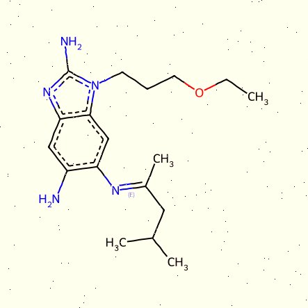 CCOCCCn1c(N)nc2cc(N)c(/N=C(\C)CC(C)C)cc21